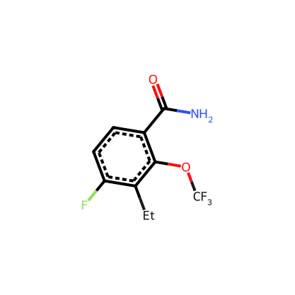 CCc1c(F)ccc(C(N)=O)c1OC(F)(F)F